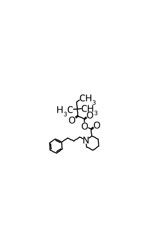 CCC(C)(C)C(=O)C(=O)OC(=O)C1CCCCN1CCCc1ccccc1